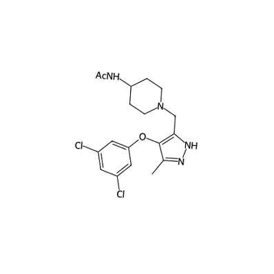 CC(=O)NC1CCN(Cc2[nH]nc(C)c2Oc2cc(Cl)cc(Cl)c2)CC1